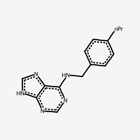 CCCc1ccc(CNc2ncnc3[nH]cnc23)cc1